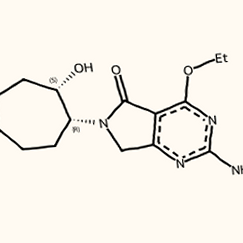 CCOc1nc(N)nc2c1C(=O)N([C@@H]1CCCCC[C@@H]1O)C2